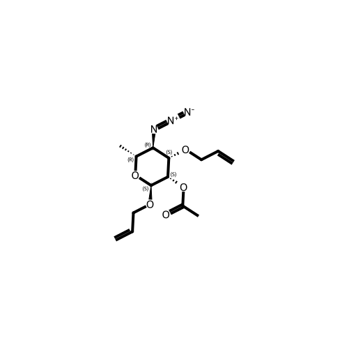 C=CCO[C@H]1O[C@H](C)[C@@H](N=[N+]=[N-])[C@H](OCC=C)[C@@H]1OC(C)=O